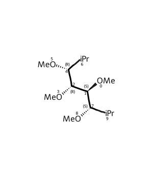 CO[C@H]([C@H](OC)[C@H](OC)C(C)C)[C@@H](OC)C(C)C